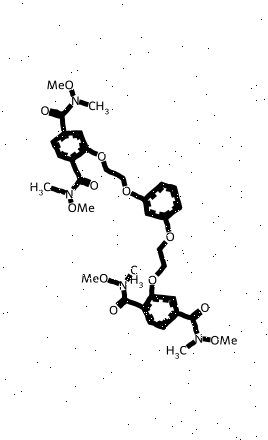 CON(C)C(=O)c1ccc(C(=O)N(C)OC)c(OCCOc2cccc(OCCOc3cc(C(=O)N(C)OC)ccc3C(=O)N(C)OC)c2)c1